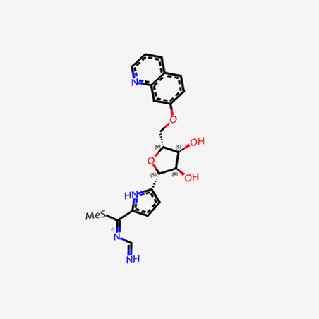 CS/C(=N/C=N)c1ccc([C@@H]2O[C@H](COc3ccc4cccnc4c3)[C@@H](O)[C@H]2O)[nH]1